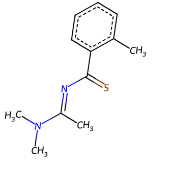 C/C(=N\C(=S)c1ccccc1C)N(C)C